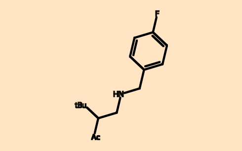 CC(=O)C(CNCc1ccc(F)cc1)C(C)(C)C